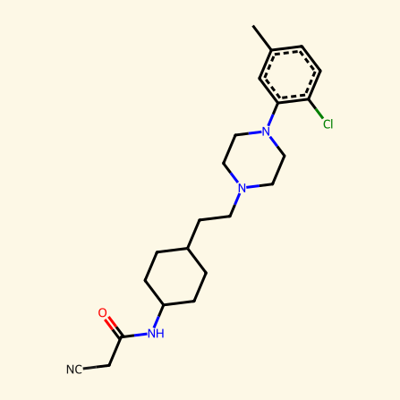 Cc1ccc(Cl)c(N2CCN(CCC3CCC(NC(=O)CC#N)CC3)CC2)c1